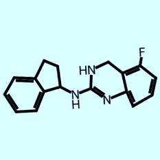 Fc1cccc2c1CNC(NC1CCc3ccccc31)=N2